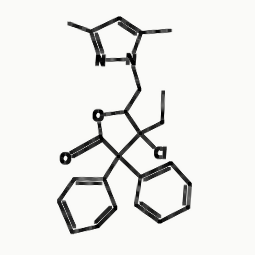 CCC1(Cl)C(Cn2nc(C)cc2C)OC(=O)C1(c1ccccc1)c1ccccc1